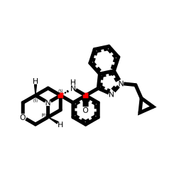 O=C(N[C@H]1C[C@H]2COC[C@@H](C1)N2Cc1ccccc1)c1nn(CC2CC2)c2ccccc12